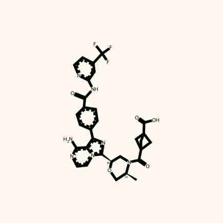 C[C@H]1CO[C@@H](c2nc(-c3ccc(C(=O)Nc4cc(C(F)(F)F)ccn4)cc3)c3c(N)nccn23)CN1C(=O)C12CC(C(=O)O)(C1)C2